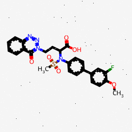 COc1ccc(-c2ccc(N(C(CCn3nnc4ccccc4c3=O)C(=O)O)S(C)(=O)=O)cc2)cc1F